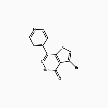 O=c1[nH]nc(-c2ccncc2)c2scc(Br)c12